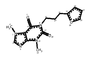 Cn1cnc2c1c(=O)n(CCCc1ccco1)c(=O)n2C